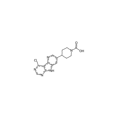 O=C(O)N1CCC(c2cnc3c(c2)[nH]c2ncnc(Cl)c23)CC1